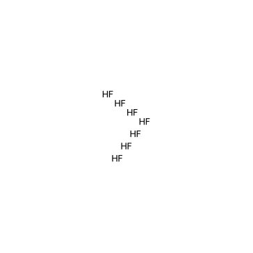 F.F.F.F.F.F.F